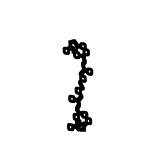 O=C(CCC(=O)ON1C(=O)CCC1=O)COCCOCC(=O)CCC(=O)ON1C(=O)CCC1=O